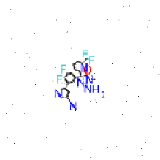 CN1C(=O)C(c2cc(F)c(F)c(-c3cncc(C#N)c3)c2)(c2cccc(C(F)F)n2)N=C1N